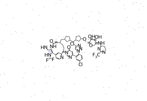 C[C@H]1C(=O)N/C(C=N)=C(/NC(F)F)c2ccnc(c2)[C@@H](n2cnc(-c3cc(Cl)ccc3-n3cc(Cl)nn3)cc2=O)CCC1CC1CCC(CC2CCC(OC[C@H]3OC[C@H](NC4=NC(C(F)(F)F)=NCC4)[C@@H](O)[C@H]3O)C2)C1